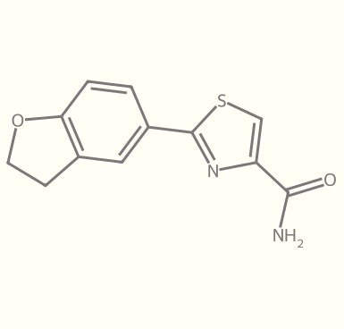 NC(=O)c1csc(-c2ccc3c(c2)CCO3)n1